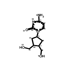 Nc1ccn(C2CC(CO)C(CO)C2)c(=O)n1